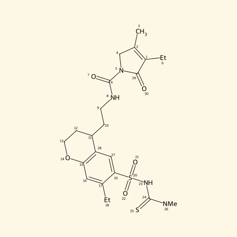 CCC1=C(C)CN(C(=O)NCCC2CCOc3cc(CC)c(S(=O)(=O)NC(=S)NC)cc32)C1=O